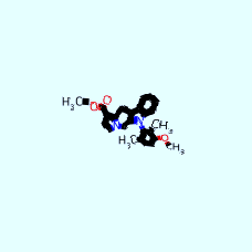 CCOC(=O)c1ccn2c1Cc1c(n(-c3c(C)ccc(OC)c3C)c3ccccc13)C2